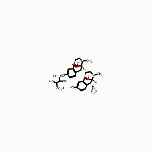 CN1CC[C@]23CCCC[C@H]2[C@H]1Cc1ccc(O)cc13.CN1CC[C@]23CCCC[C@H]2[C@H]1Cc1ccc(O)cc13.O.O.O=C(O)C(O)C(O)C(=O)O